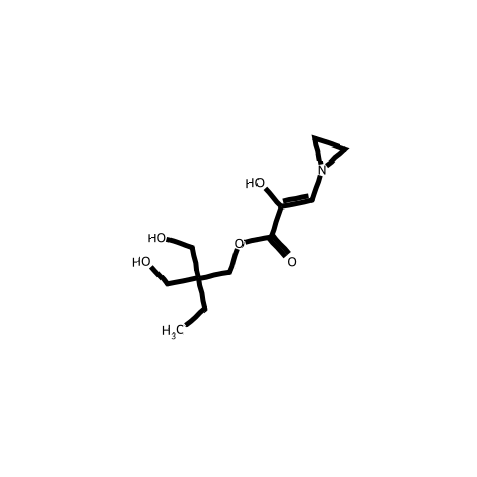 CCC(CO)(CO)COC(=O)C(O)=CN1CC1